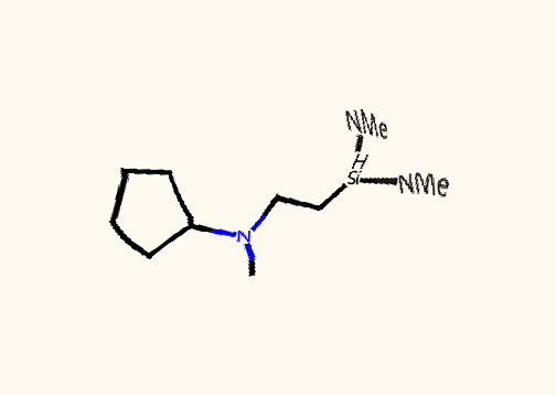 CN[SiH](CCN(C)C1CCCC1)NC